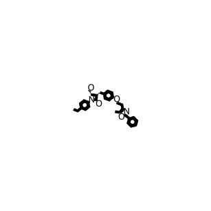 CCc1ccc(N2C(=O)[C@@H](Cc3ccc(OCCc4nc(-c5ccccc5)oc4C)cc3)[C@H]2C=O)cc1